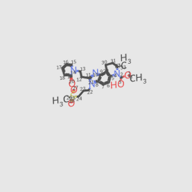 COC(O)N1c2ccc3c(nc(CCn4ccccc4=O)n3CCCS(C)(=O)=O)c2CC[C@@H]1C